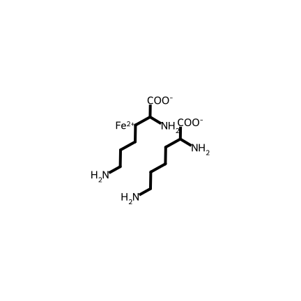 NCCCCC(N)C(=O)[O-].NCCCCC(N)C(=O)[O-].[Fe+2]